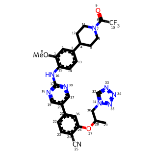 COc1cc(C2CCN(C(=O)C(F)(F)F)CC2)ccc1Nc1ncc(-c2ccc(C#N)c(OC(C)Cn3cnnn3)c2)cn1